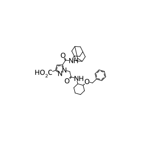 O=C(Cn1nc(C(=O)O)cc1C(=O)NC12CC3CC(CC(C3)C1)C2)NC1CCCC[C@@H]1OCc1ccccc1